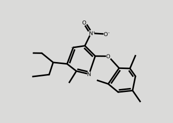 CCC(CC)c1[c]c([N+](=O)[O-])c(Oc2c(C)cc(C)cc2C)nc1C